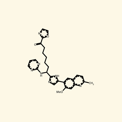 COc1cc2nc(C)ccc2cc1-c1cnc(C(CCCCCC(=O)c2ncco2)Nc2ncccn2)[nH]1